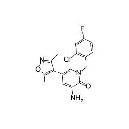 Cc1noc(C)c1-c1cc(N)c(=O)n(Cc2ccc(F)cc2Cl)c1